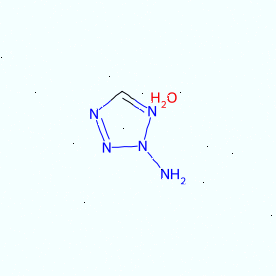 Nn1ncnn1.O